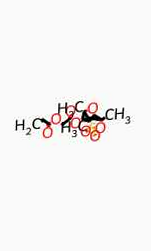 C=CC(=O)OCC(=O)OC1C2C3OC1(C)C(C)C3(C)OS2(=O)=O